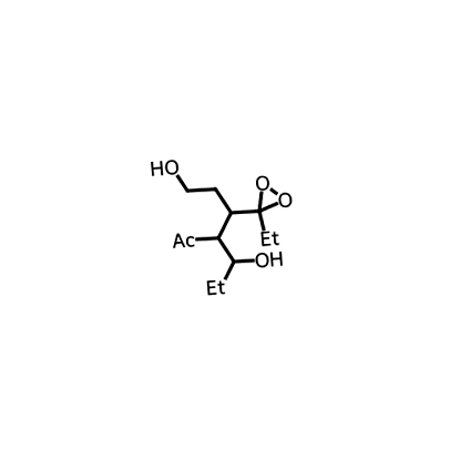 CCC(O)C(C(C)=O)C(CCO)C1(CC)OO1